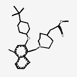 COC(=O)CC1CCN(Cc2c(OC3CCC(C(C)(C)C)CC3)cc(C)c3ccccc23)CC1